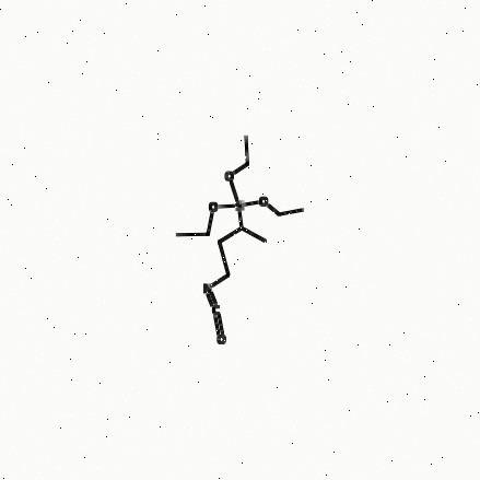 CCO[Si](OCC)(OCC)C(C)CCN=C=O